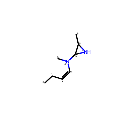 CC/C=C\N(C)C1NC1C